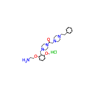 COc1cccc(OCCN)c1CN1CCN(C(=O)CN2CCN(CCc3ccccc3)CC2)CC1.Cl